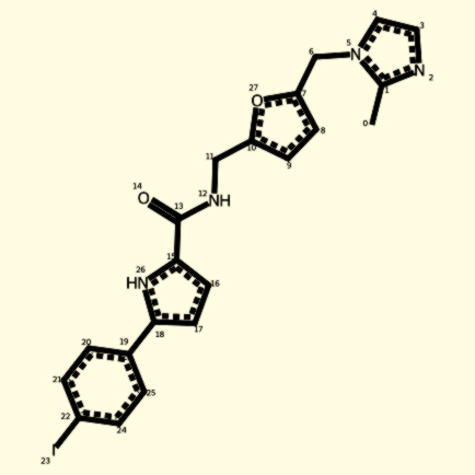 Cc1nccn1Cc1ccc(CNC(=O)c2ccc(-c3ccc(I)cc3)[nH]2)o1